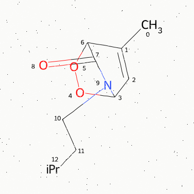 CC1=CC2OOC1C(=O)N2CCC(C)C